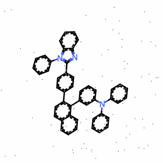 c1ccc(N(c2ccccc2)c2cccc(-c3c(-c4ccc(-c5nc6ccccc6n5-c5ccccc5)cc4)ccc4ccccc34)c2)cc1